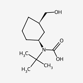 CC(C)(C)N(C(=O)O)[C@H]1CCC[C@@H](CO)C1